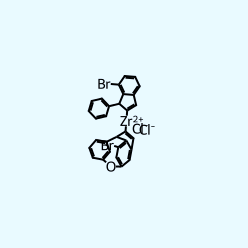 Brc1cccc2c1C(c1ccccc1)[C]([Zr+2][C]1=Cc3cc4cc(Br)c3C1c1cccc(c1)O4)=C2.[Cl-].[Cl-]